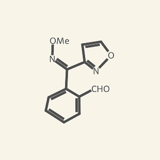 CON=C(c1ccon1)c1ccccc1C=O